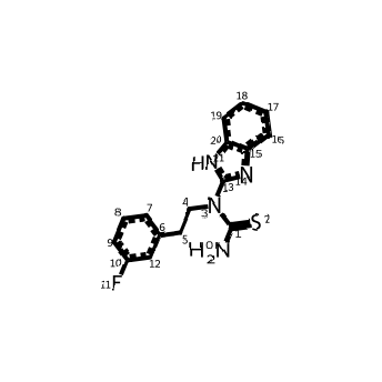 NC(=S)N(CCc1cccc(F)c1)c1nc2ccccc2[nH]1